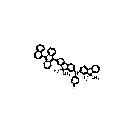 CC1(C)c2ccccc2-c2ccc(N(c3ccc(F)cc3)c3ccc4c(c3)C(C)(C)c3cc(-c5c6ccccc6c(-c6cccc7ccccc67)c6ccccc56)ccc3-4)cc21